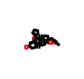 CC#CCC1(O)CC[C@H]2[C@@H]3CCC4=CC(=O)CC[C@]4(COC4=CCCC4)[C@@H]3CC[C@@]21C